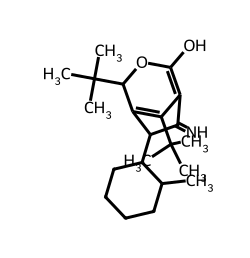 CC1CCCCC1C1C(=N)C2=C(O)OC(C(C)(C)C)C1=C2C(C)(C)C